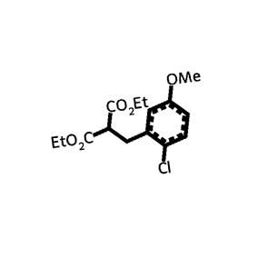 CCOC(=O)C(Cc1cc(OC)ccc1Cl)C(=O)OCC